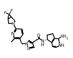 Cc1nc(N2CC3C(C2)C3(F)F)ccc1Cn1cc(C(=O)N[C@@H]2CCC3=C2C=CNC3N)cn1